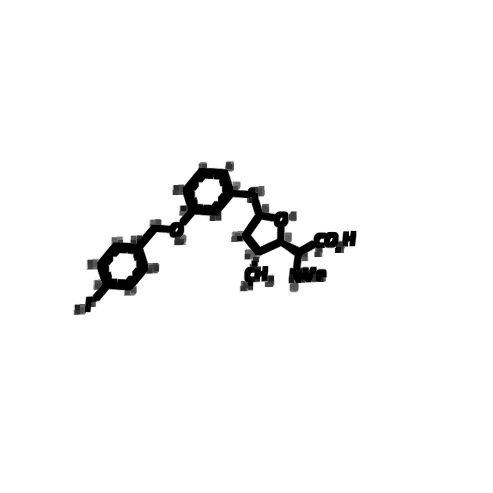 CNC(C(=O)O)[C@@H]1OC(Sc2cccc(OCc3ccc(F)cc3)c2)C[C@H]1C